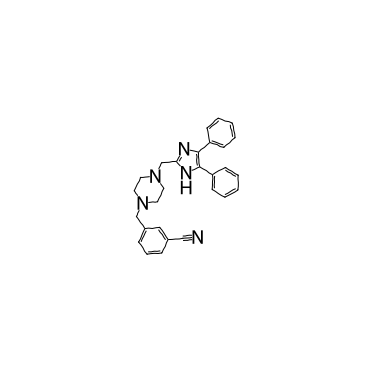 N#Cc1cccc(CN2CCN(Cc3nc(-c4ccccc4)c(-c4ccccc4)[nH]3)CC2)c1